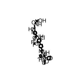 COC(=O)N[C@H](C(=O)N1C[C@@H](C)C[C@H]1c1nc(-c2ccc(-c3cc(Cl)c(NC(=O)c4ccc(NCCNC(=O)C(C)(C)CO)nc4)cc3OC(F)(F)F)cc2)c[nH]1)C1CCOCC1